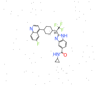 O=C(NC1CC1)c1ccc2[nH]c([C@@H](C3CCC(c4ccnc5ccc(F)cc45)CC3)C(F)(F)F)nc2c1